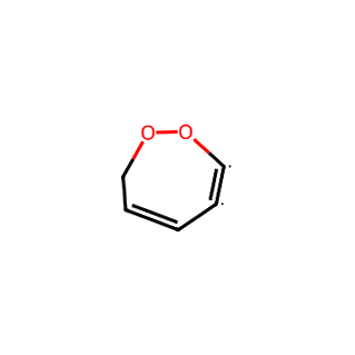 [C]1=[C]OOCC=C1